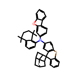 CC1(C)CCC(C)(C)c2c(N(c3ccc4c(c3)C3(c5ccccc5S4)C4CC5CC6CC3C64C5)c3ccc4c(c3)oc3ccccc34)cccc21